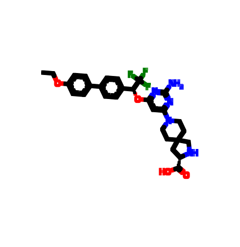 CCOc1ccc(-c2ccc([C@@H](Oc3cc(N4CCC5(CC4)CN[C@H](C(=O)O)C5)nc(N)n3)C(F)(F)F)cc2)cc1